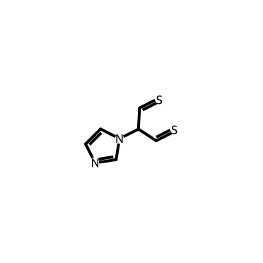 S=CC(C=S)n1ccnc1